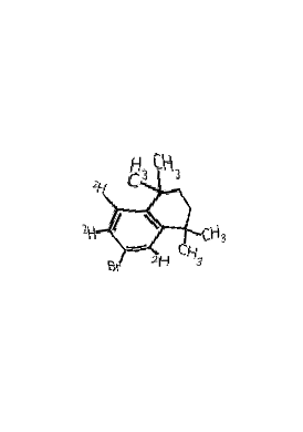 [2H]c1c([2H])c2c(c([2H])c1Br)C(C)(C)CCC2(C)C